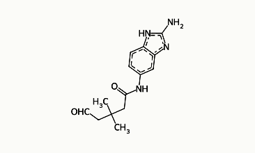 CC(C)(CC=O)CC(=O)Nc1ccc2[nH]c(N)nc2c1